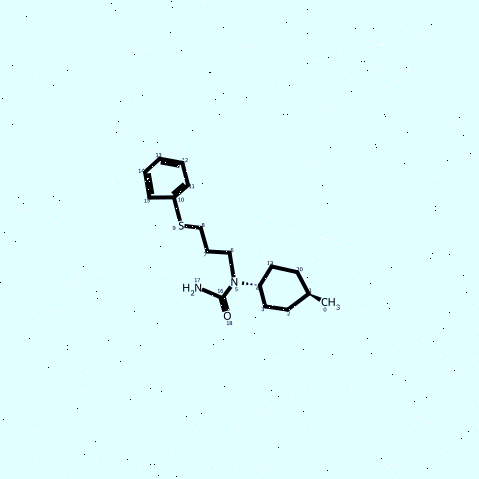 C[C@H]1CC[C@H](N(CCCSc2ccccc2)C(N)=O)CC1